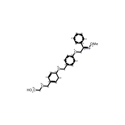 CO/N=C(/COc1ccc(COC2C=CC(COCC(=O)O)=CC2)cc1)c1ccccc1